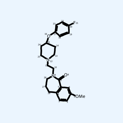 COc1ccc2c(c1)C(=O)N(CCN1CCC(Oc3ccc(F)cc3)CC1)CCC2